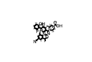 Cc1cc(C#N)cc(C(C)C)c1-n1c(=O)nc(N2CCN(C(=O)O)C[C@@H]2C)c2cc(F)c(-c3c(O)cccc3F)nc21